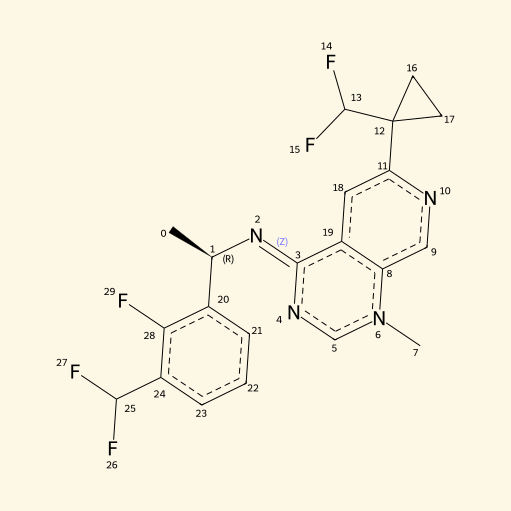 C[C@@H](/N=c1\ncn(C)c2cnc(C3(C(F)F)CC3)cc12)c1cccc(C(F)F)c1F